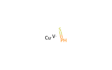 P=S.[Cu].[V]